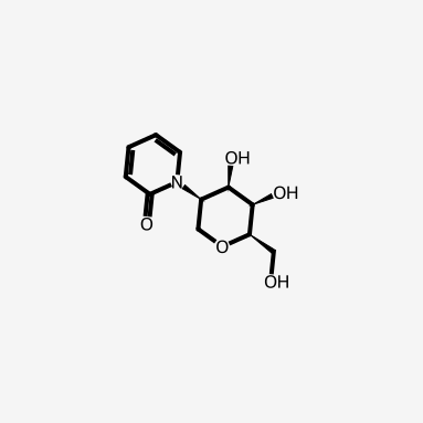 O=c1ccccn1[C@@H]1CO[C@H](CO)[C@H](O)[C@@H]1O